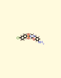 Nc1ccc(CN2CCN(S(=O)(=O)c3ccc4cc(Cl)ccc4c3)CC2=O)cc1